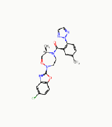 Cc1ccc(-n2nccn2)c(C(=O)N2CCN(c3nc4cc(Cl)ccc4o3)OC[C@H]2C)c1